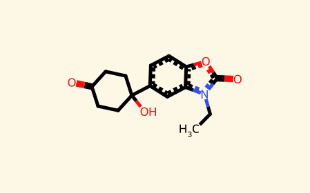 CCn1c(=O)oc2ccc(C3(O)CCC(=O)CC3)cc21